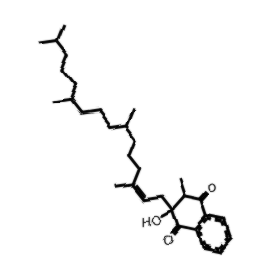 CC(=CCC1(O)C(=O)c2ccccc2C(=O)C1C)CCCC(C)CCCC(C)CCCC(C)C